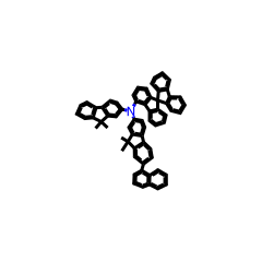 CC1(C)c2ccccc2-c2ccc(N(c3ccc4c(c3)C(C)(C)c3cc(-c5cccc6ccccc56)ccc3-4)c3cccc4c3-c3ccccc3C43c4ccccc4-c4ccccc43)cc21